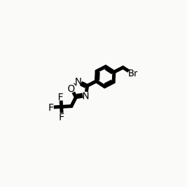 FC(F)(F)Cc1nc(-c2ccc(CBr)cc2)no1